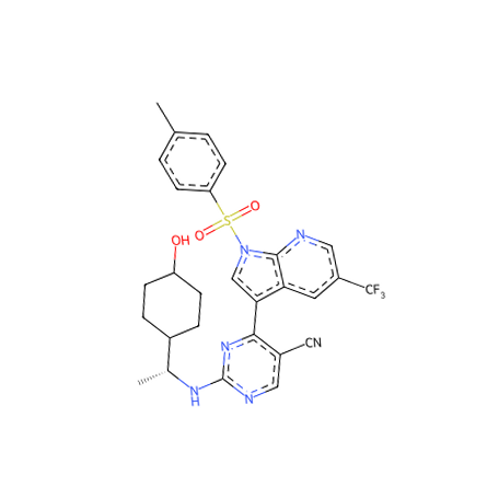 Cc1ccc(S(=O)(=O)n2cc(-c3nc(N[C@H](C)C4CCC(O)CC4)ncc3C#N)c3cc(C(F)(F)F)cnc32)cc1